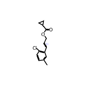 Cc1ccc(Cl)c(/C=C/COC(=O)C2CC2)c1